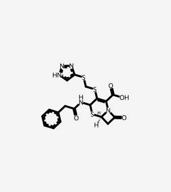 O=C(Cc1ccccc1)NC1S[C@@H]2CC(=O)N2C(C(=O)O)=C1SCSc1c[nH]nn1